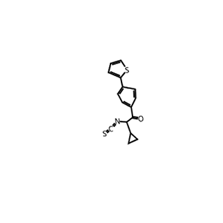 O=C(c1ccc(-c2cccs2)cc1)C(N=C=S)C1CC1